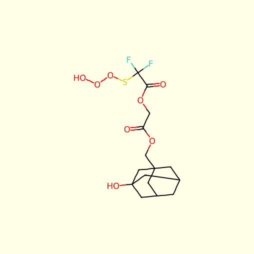 O=C(COC(=O)C(F)(F)SOOO)OCC12CC3CC(CC(O)(C3)C1)C2